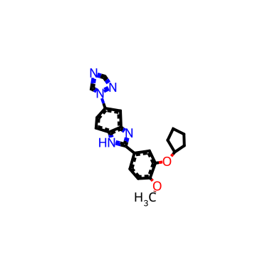 COc1ccc(-c2nc3cc(-n4cncn4)ccc3[nH]2)cc1OC1CCCC1